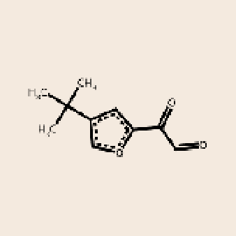 CC(C)(C)c1coc(C(=O)C=O)c1